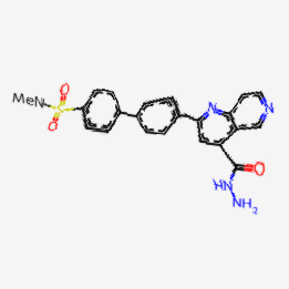 CNS(=O)(=O)c1ccc(-c2ccc(-c3cc(C(=O)NN)c4cnccc4n3)cc2)cc1